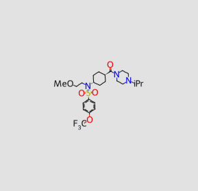 COCCN([C@H]1CC[C@H](C(=O)N2CCN(C(C)C)CC2)CC1)S(=O)(=O)c1ccc(OC(F)(F)F)cc1